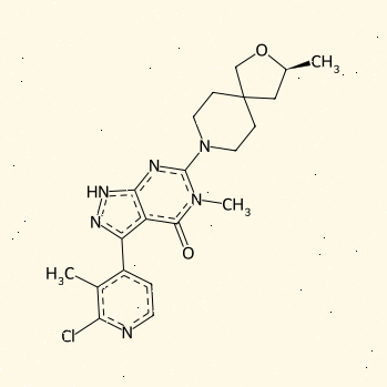 Cc1c(-c2n[nH]c3nc(N4CCC5(CC4)CO[C@@H](C)C5)n(C)c(=O)c23)ccnc1Cl